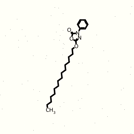 CCCCCCCCCCCCCCCCOc1nn(-c2ccccc2)c(=O)o1